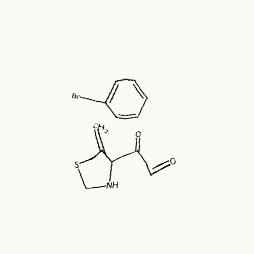 Brc1ccccc1.C=C1SCNC1C(=O)C=O